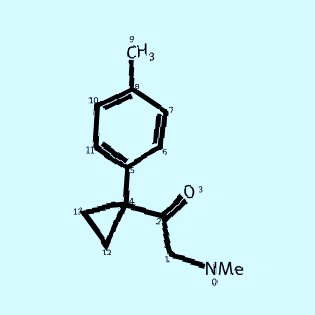 CNCC(=O)C1(c2ccc(C)cc2)CC1